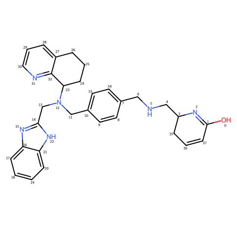 OC1=NC(CNCc2ccc(CN(Cc3nc4ccccc4[nH]3)C3CCCc4cccnc43)cc2)CC=C1